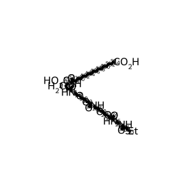 C=C(CC(=O)NCCOCCOCC(=O)NCCOCCOCC(=O)NCCNC(=O)CSCC)[C@@H](NC(=O)CCCCCCCCCCCCCCCCC(=O)O)C(=O)O